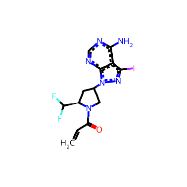 C=CC(=O)N1CC(n2nc(I)c3c(N)ncnc32)C[C@@H]1C(F)F